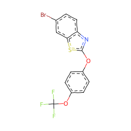 FC(F)(F)Oc1ccc(Oc2nc3ccc(Br)cc3s2)cc1